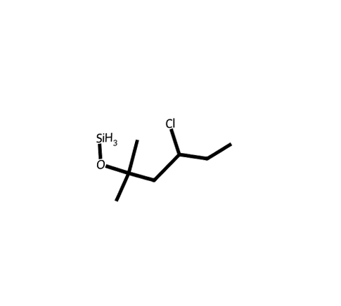 CCC(Cl)CC(C)(C)O[SiH3]